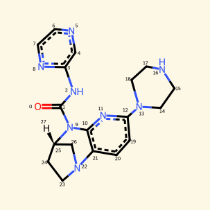 O=C(Nc1cnccn1)N1c2nc(N3CCNCC3)ccc2N2CC[C@H]1C2